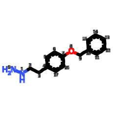 NNCCc1ccc(OCc2ccccc2)cc1